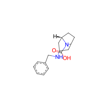 O=C(O)N1C2CC[C@H]1CC(NCc1ccccc1)C2